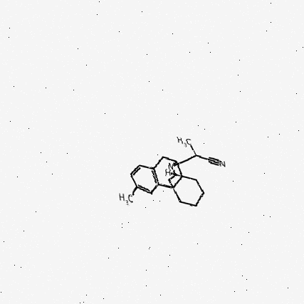 Cc1ccc2c(c1)[C@@]13CCCC[C@H]1C(C2)N(C(C)C#N)CC3